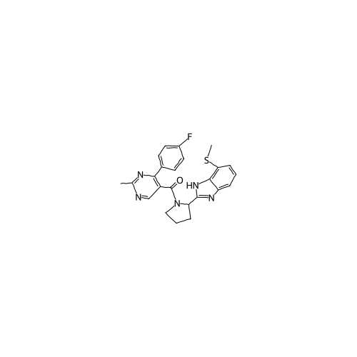 CSc1cccc2nc(C3CCCN3C(=O)c3cnc(C)nc3-c3ccc(F)cc3)[nH]c12